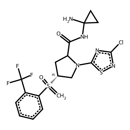 C=S(=O)(c1ccccc1C(F)(F)F)[C@@H]1CC(C(=O)NC2(N)CC2)N(c2nc(Cl)ns2)C1